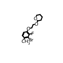 Cc1ccc(OCCOC2CCCCO2)c(F)c1Br